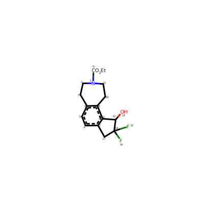 CCOC(=O)N1CCc2ccc3c(c2CC1)C(O)C(F)(F)C3